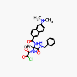 CCCC(NC(=O)C(=O)Cl)(NC(=O)c1ccc2cc(N(C)C)ccc2c1)C(=O)NCc1ccccc1